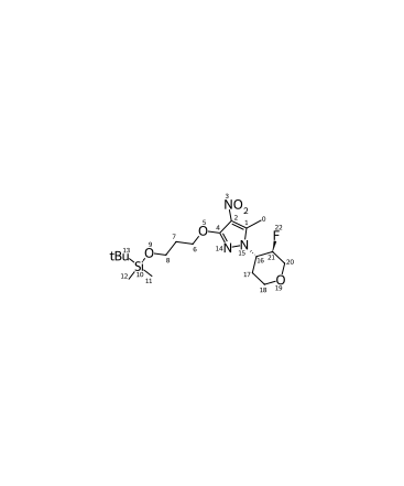 Cc1c([N+](=O)[O-])c(OCCCO[Si](C)(C)C(C)(C)C)nn1[C@H]1CCOC[C@@H]1F